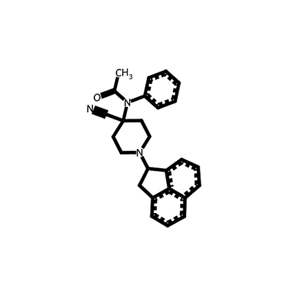 CC(=O)N(c1ccccc1)C1(C#N)CCN(C2Cc3cccc4cccc2c34)CC1